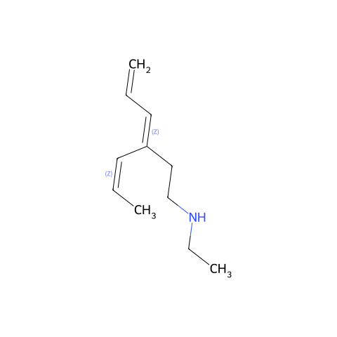 C=C/C=C(\C=C/C)CCNCC